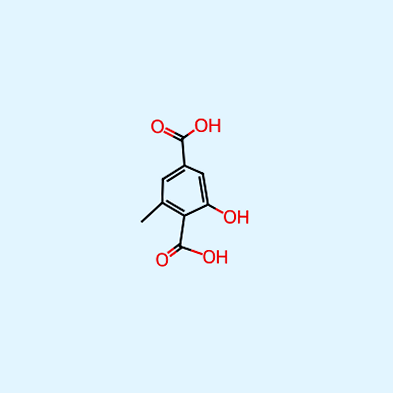 Cc1cc(C(=O)O)cc(O)c1C(=O)O